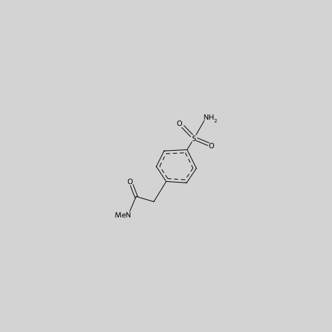 CNC(=O)Cc1ccc(S(N)(=O)=O)cc1